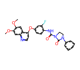 COc1cc2nccc(Oc3ccc(NC(=O)N4CCN(c5ccccc5)C4=O)c(F)c3)c2cc1OC